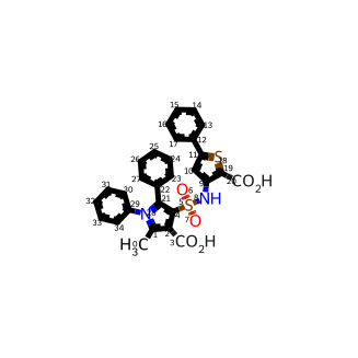 Cc1c(C(=O)O)c(S(=O)(=O)Nc2cc(-c3ccccc3)sc2C(=O)O)c(-c2ccccc2)n1-c1ccccc1